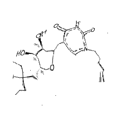 C=CCCn1cc(C2O[C@H](CC(I)(CC)CC)[C@@H](O)[C@H]2O)c(=O)[nH]c1=O